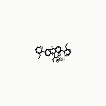 CCc1cccnc1-c1ccc2c(c1)Sc1ccc(-c3ncccc3CC)cc1N2C(CC)S(=O)(=O)O